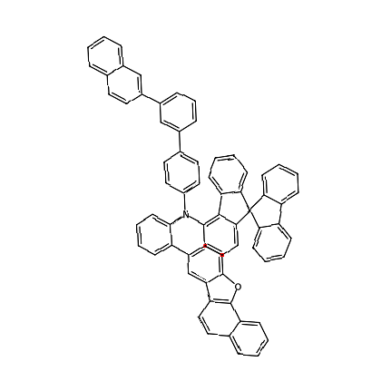 c1cc(-c2ccc(N(c3ccccc3-c3ccc4oc5c6ccccc6ccc5c4c3)c3cccc4c3-c3ccccc3C43c4ccccc4-c4ccccc43)cc2)cc(-c2ccc3ccccc3c2)c1